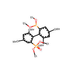 CCOP(OCC)c1cc(OC)cc(OC)c1-c1c(OC)cc(OC)cc1P(=O)(OCC)OCC